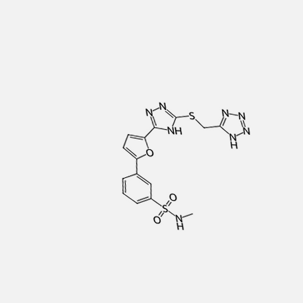 CNS(=O)(=O)c1cccc(-c2ccc(-c3nnc(SCc4nnn[nH]4)[nH]3)o2)c1